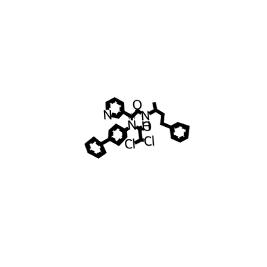 CC(CCc1ccccc1)NC(=O)[C@H](c1cccnc1)N(C(=O)C(Cl)Cl)c1ccc(-c2ccccc2)cc1